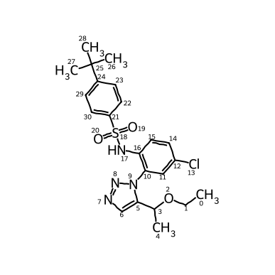 CCOC(C)c1cnnn1-c1cc(Cl)ccc1NS(=O)(=O)c1ccc(C(C)(C)C)cc1